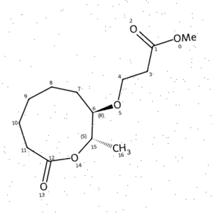 COC(=O)CCO[C@@H]1CCCCCC(=O)O[C@H]1C